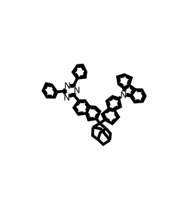 c1ccc(-c2nc(-c3ccccc3)nc(-c3ccc4cc(C5(c6ccc7cc(-n8c9ccccc9c9ccccc98)ccc7c6)C6CC7CC(C6)CC5C7)ccc4c3)n2)cc1